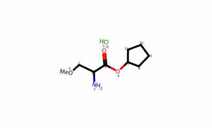 COCC(N)C(=O)OC1CCCC1.Cl